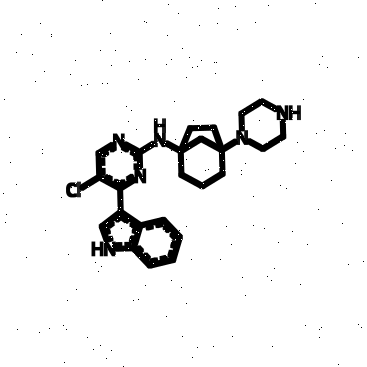 Clc1cnc(NC23CCCC(N4CCNCC4)(CC2)C3)nc1-c1c[nH]c2ccccc12